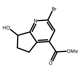 COC(=O)c1cc(Br)nc2c1CCC2O